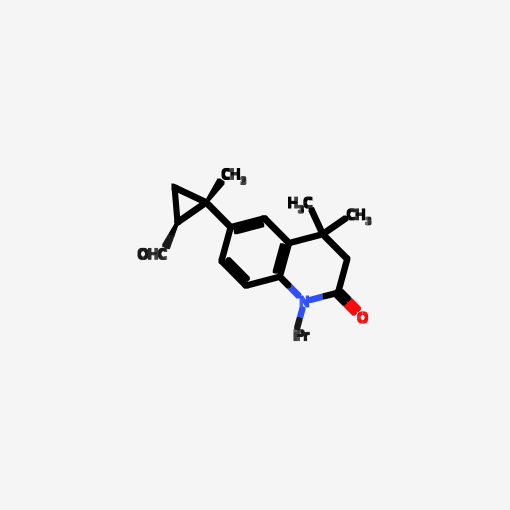 CC(C)N1C(=O)CC(C)(C)c2cc([C@@]3(C)C[C@@H]3C=O)ccc21